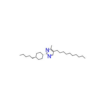 CCCCCCCCCCc1cnc([C@H]2CC[C@H](CCCCC)CC2)nc1C